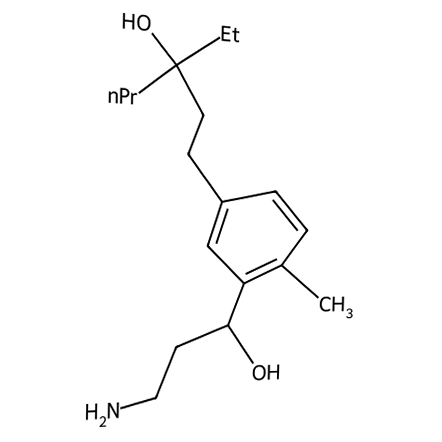 CCCC(O)(CC)CCc1ccc(C)c(C(O)CCN)c1